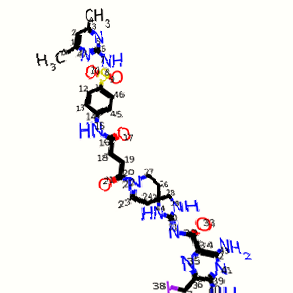 Cc1cc(C)nc(NS(=O)(=O)c2ccc(NC(=O)CCC(=O)N3CCC4(CC3)CN/C(=N\C(=O)c3nc(CI)c(N)nc3N)N4)cc2)n1